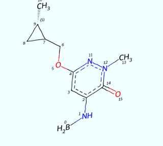 BNc1cc(OCC2C[C@@H]2C)nn(C)c1=O